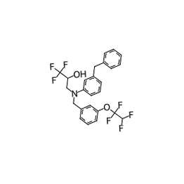 OC(CN(Cc1cccc(OC(F)(F)C(F)F)c1)c1cccc(Cc2ccccc2)c1)C(F)(F)F